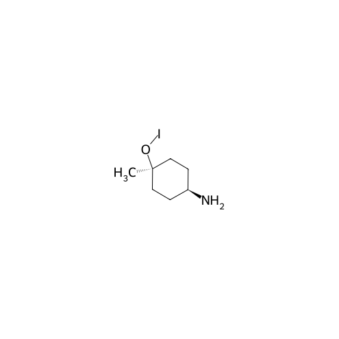 C[C@]1(OI)CC[C@@H](N)CC1